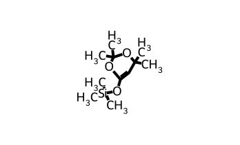 CC1(C)C=C(O[Si](C)(C)C)OC(C)(C)O1